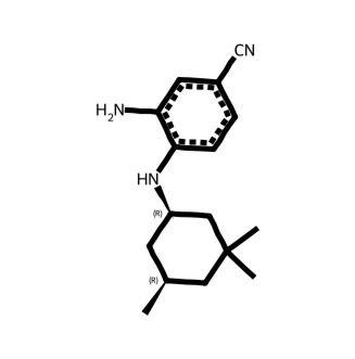 C[C@H]1C[C@@H](Nc2ccc(C#N)cc2N)CC(C)(C)C1